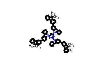 CC1(C)c2ccccc2-c2cc(-c3ccc4c(c3)c3ccccc3n4-c3cc(-n4c5ccccc5c5cc(-c6ccc7c(c6)-c6ccccc6C7(C)C)ccc54)nc(-n4c5ccccc5c5cc(-c6ccc7c(c6)-c6ccccc6C7(C)C)ccc54)n3)ccc21